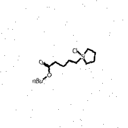 CCCCOC(=O)CCCC[Si]1(Cl)CCCC1